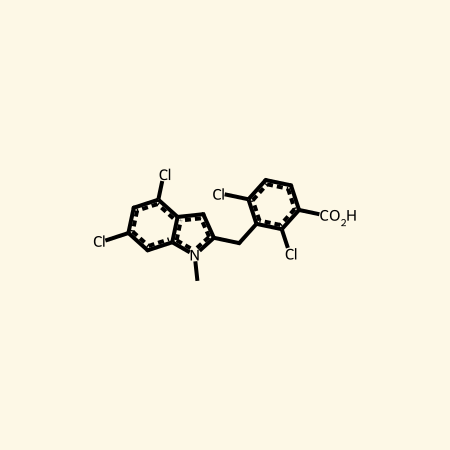 Cn1c(Cc2c(Cl)ccc(C(=O)O)c2Cl)cc2c(Cl)cc(Cl)cc21